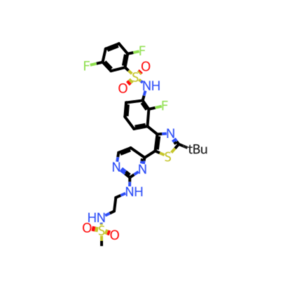 CC(C)(C)c1nc(-c2cccc(NS(=O)(=O)c3cc(F)ccc3F)c2F)c(-c2ccnc(NCCNS(C)(=O)=O)n2)s1